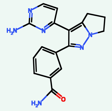 NC(=O)c1cccc(-c2nn3c(c2-c2ccnc(N)n2)CCC3)c1